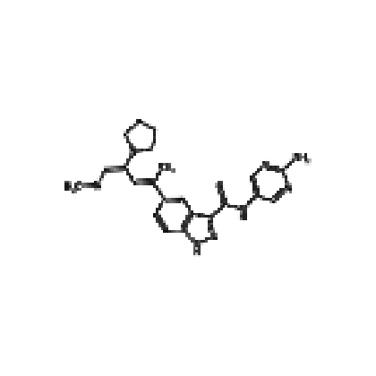 C=N/C=C(\C=C(/C)c1ccc2[nH]nc(C(=O)Nc3cnc(N)nc3)c2c1)N1CCCC1